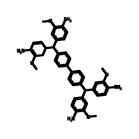 COC1=C(N)C=CC(C(c2ccc(-c3ccc(C(c4ccc(N)c(OC)c4)c4ccc(N)c(OC)c4)cc3)cc2)c2ccc(N)c(OC)c2)C1